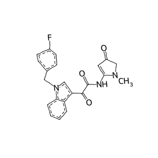 CN1CC(=O)C=C1NC(=O)C(=O)c1cn(Cc2ccc(F)cc2)c2ccccc12